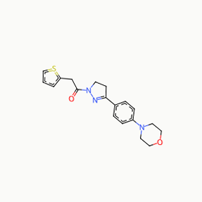 O=C(Cc1cccs1)N1CCC(c2ccc(N3CCOCC3)cc2)=N1